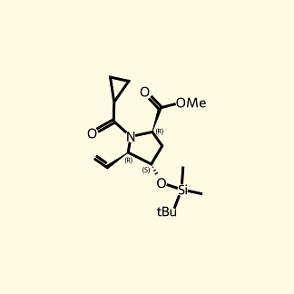 C=C[C@@H]1[C@@H](O[Si](C)(C)C(C)(C)C)C[C@H](C(=O)OC)N1C(=O)C1CC1